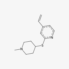 C=Cc1ccnc(SC2CCN(C)CC2)c1